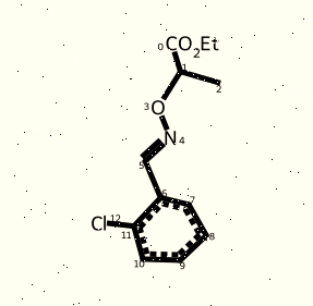 CCOC(=O)C(C)ON=Cc1c[c]ccc1Cl